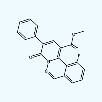 COC(=O)c1cc(-c2ccccc2)c(=O)n2ncc3cccc(F)c3c12